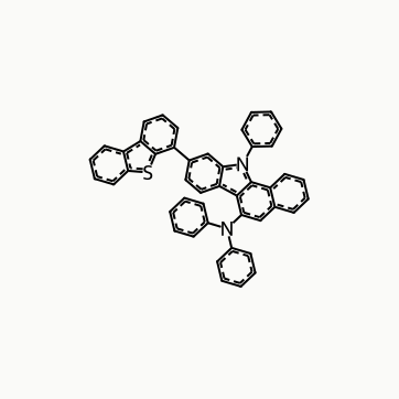 c1ccc(N(c2ccccc2)c2cc3ccccc3c3c2c2ccc(-c4cccc5c4sc4ccccc45)cc2n3-c2ccccc2)cc1